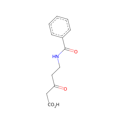 O=C(O)CC(=O)CCNC(=O)c1ccccc1